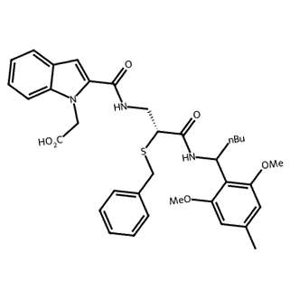 CCCCC(NC(=O)[C@@H](CNC(=O)c1cc2ccccc2n1CC(=O)O)SCc1ccccc1)c1c(OC)cc(C)cc1OC